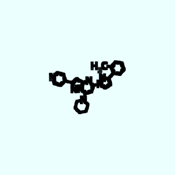 Cc1ccccc1-c1ccn(-c2cc(N3CCCCC3)n3nc(-c4ccncc4)cc3n2)n1